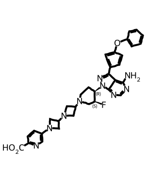 Nc1ncnc2c1c(-c1ccc(Oc3ccccc3)cc1)nn2[C@@H]1CCN(C2CN(C3CN(c4ccc(C(=O)O)nc4)C3)C2)C[C@@H]1F